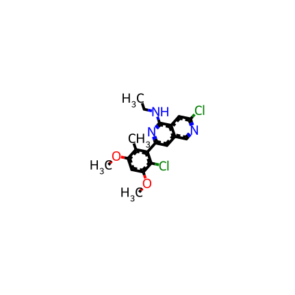 CCNc1nc(-c2c(C)c(OC)cc(OC)c2Cl)cc2cnc(Cl)cc12